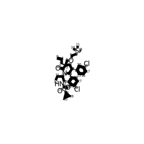 C=CC[C@@]1(COCC[Si](C)(C)C)C[C@H](c2cccc(Cl)c2)[C@@H](c2ccc(Cl)cc2)N(C(CC)CNS(=O)(=O)C2CC2)C1=O